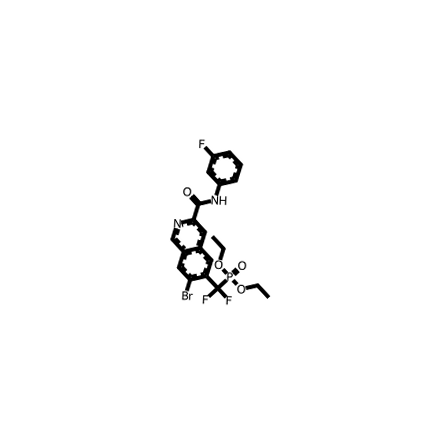 CCOP(=O)(OCC)C(F)(F)c1cc2cc(C(=O)Nc3cccc(F)c3)ncc2cc1Br